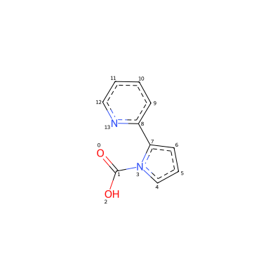 O=C(O)n1cccc1-c1ccccn1